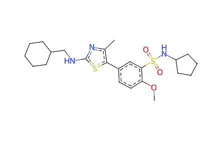 COc1ccc(-c2sc(NCC3CCCCC3)nc2C)cc1S(=O)(=O)NC1CCCC1